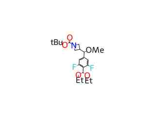 CCOC(OCC)c1c(F)cc(C(OC)C2CN(C(=O)OC(C)(C)C)C2)cc1F